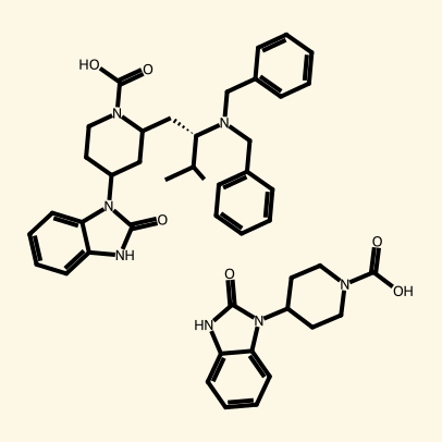 CC(C)[C@H](CC1CC(n2c(=O)[nH]c3ccccc32)CCN1C(=O)O)N(Cc1ccccc1)Cc1ccccc1.O=C(O)N1CCC(n2c(=O)[nH]c3ccccc32)CC1